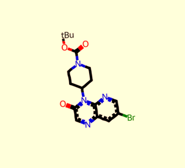 CC(C)(C)OC(=O)N1CCC(n2c(=O)cnc3cc(Br)cnc32)CC1